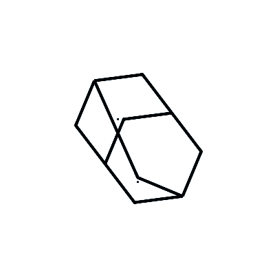 [CH]1C2CC3[CH]C(C2)CC1C3